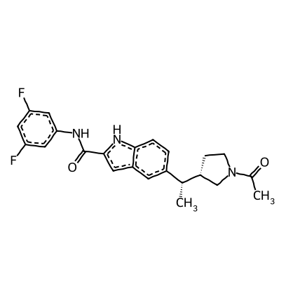 CC(=O)N1CC[C@@H]([C@H](C)c2ccc3[nH]c(C(=O)Nc4cc(F)cc(F)c4)cc3c2)C1